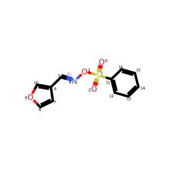 O=S(=O)(O/N=C/c1ccoc1)c1ccccc1